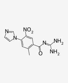 Cc1cc(-n2ccnc2)c([N+](=O)[O-])cc1C(=O)N=C(N)N